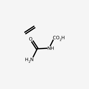 C=C.NC(=O)NC(=O)O